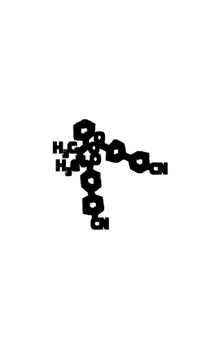 CC(C(OC(=O)c1ccc(-c2ccc(C#N)cc2)cc1)c1ccccc1)N(C)C(=O)c1ccc(-c2ccc(C#N)cc2)cc1